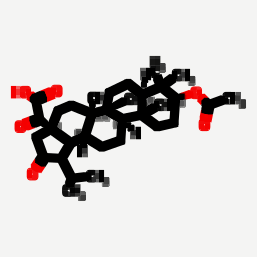 CC(=O)O[C@H]1CCC2(C)[C@H]3CC[C@@H]4C5C(C(C)C)C(=O)C[C@]5(C(=O)C(=O)O)CC[C@@]4(C)[C@]3(C)CC[C@H]2C1(C)C